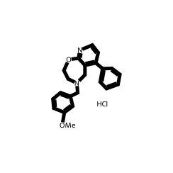 COc1cccc(CN2CCOc3nccc(-c4ccccc4)c3C2)c1.Cl